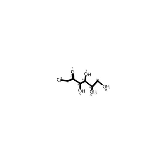 O=C(CCl)C(O)C(O)C(O)CO